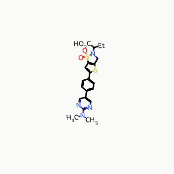 CCC(C(=O)O)N1Cc2sc(-c3ccc(-c4cnc(N(C)C)nc4)cc3)cc2S1(=O)=O